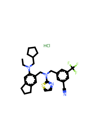 CCN(CC1CCCC1)c1cc2c(cc1CN(Cc1cc(C#N)cc(C(F)(F)F)c1)c1nccs1)CCC2.Cl